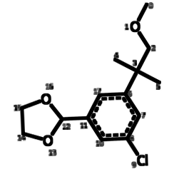 COCC(C)(C)c1cc(Cl)cc(C2OCCO2)c1